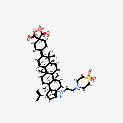 C=C(C)[C@@H]1CC[C@]2(NCCN3CCS(=O)(=O)CC3)CC[C@]3(C)[C@H](CC[C@@H]4[C@@]5(C)C=CC(=C6CCC(C(=O)O)(C(=O)O)CC6)C(C)(C)[C@@H]5CC[C@]43C)[C@@H]12